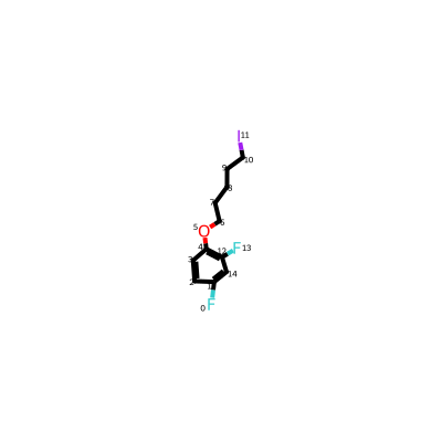 Fc1ccc(OCCCCCI)c(F)c1